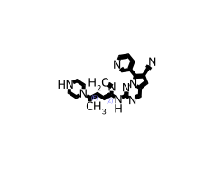 C=N/C(=C\C=C(/C)N1CCNCC1)Nc1ncc2cc(C#N)c(-c3cccnc3)n2n1